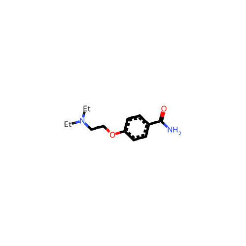 CCN(CC)CCOc1ccc(C(N)=O)cc1